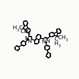 CC1(C)c2ccccc2-c2ccc(-c3cc(-c4cccc5c(-c6cc(-c7ccc8c(c7)C(C)(C)c7ccccc7-8)nc(-c7ccc(-c8ccccc8)cc7)n6)cccc45)nc(-c4ccc(-c5ccccc5)cc4)n3)cc21